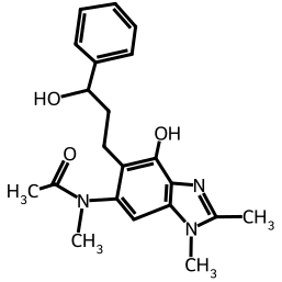 CC(=O)N(C)c1cc2c(nc(C)n2C)c(O)c1CCC(O)c1ccccc1